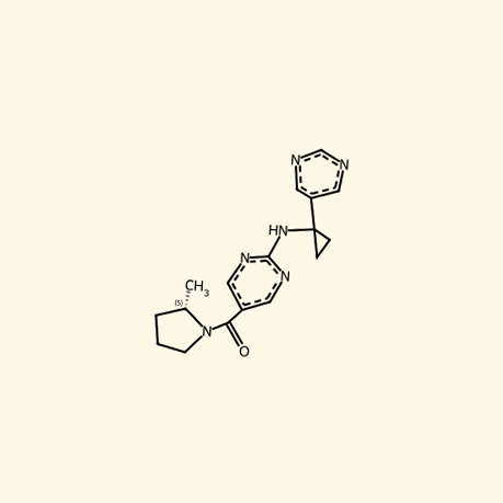 C[C@H]1CCCN1C(=O)c1cnc(NC2(c3cncnc3)CC2)nc1